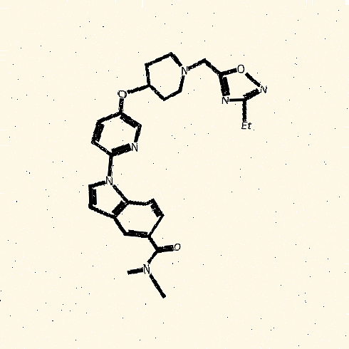 CCc1noc(CN2CCC(Oc3ccc(-n4ccc5cc(C(=O)N(C)C)ccc54)nc3)CC2)n1